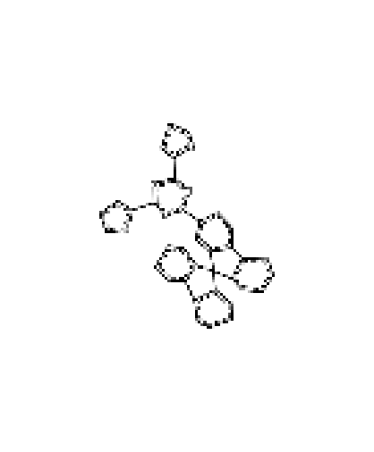 c1csc(-c2nc(-c3ccc4c(c3)C3(c5ccccc5-c5ccccc53)c3ccccc3-4)nc(-c3cccs3)n2)c1